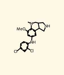 COc1cc(Nc2ccc(Cl)cc2Cl)cc2c1N(C)CC1CNCC21